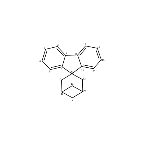 [c]1ccc2c(c1)C1(CC3CC(C3)C1)c1c[c]ccc1-2